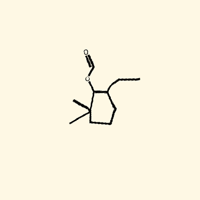 CCC1CCCC(C)(C)C1OC=O